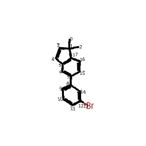 CC1(C)C=Cc2cc(-c3cccc(Br)c3)ccc21